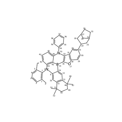 Cc1cccc(C)c1N1c2cc3c(cc2B2c4oc5ccc(C6CC7CCC(C7)C6)cc5c4N(c4ccccc4)c4cccc1c42)C(C)(C)CCC3(C)C